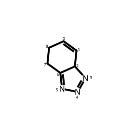 C1=CC2N=NN=C2CC1